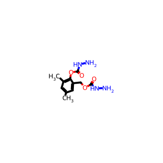 Cc1cc(C)c(OC(=O)NN)c(COC(=O)NN)c1